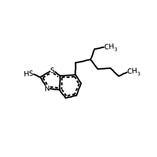 CCCCC(CC)Cc1cccc2nc(S)sc12